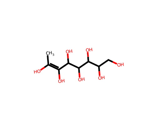 C/C(O)=C(/O)C(O)C(O)C(O)C(O)CO